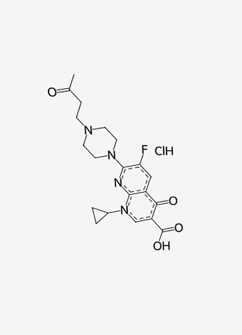 CC(=O)CCN1CCN(c2nc3c(cc2F)c(=O)c(C(=O)O)cn3C2CC2)CC1.Cl